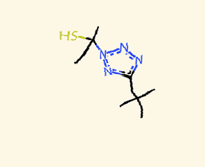 CC(C)(C)c1nnn(C(C)(C)S)n1